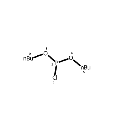 CCCCOP(Cl)OCCCC